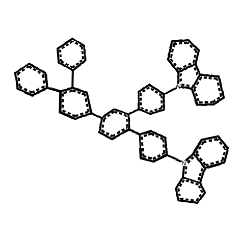 c1ccc(-c2ccc(-c3ccc(-c4ccc(-n5c6ccccc6c6ccccc65)cc4)c(-c4ccc(-n5c6ccccc6c6ccccc65)cc4)c3)cc2-c2ccccc2)cc1